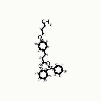 CCCCOc1ccc(CCC(=O)O[S+](c2ccccc2)c2ccccc2)cc1